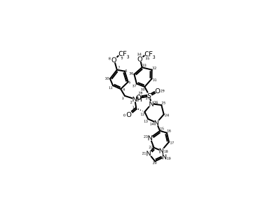 O=C(NCc1ccc(OC(F)(F)F)cc1)[C@H]1CN(c2ccn3ncnc3n2)CCN1S(=O)(=O)c1ccc(OC(F)(F)F)cc1